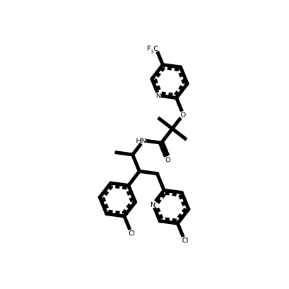 CC(NC(=O)C(C)(C)Oc1ccc(C(F)(F)F)cn1)C(Cc1ccc(Cl)cn1)c1cccc(Cl)c1